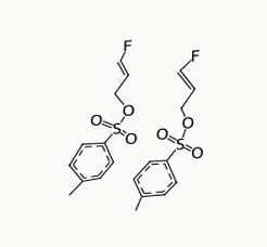 Cc1ccc(S(=O)(=O)OCC=CF)cc1.Cc1ccc(S(=O)(=O)OCC=CF)cc1